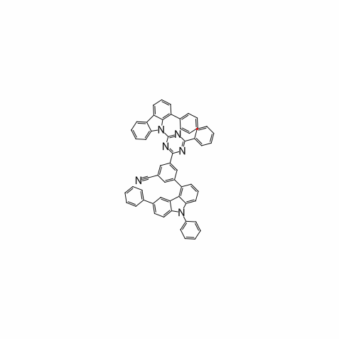 N#Cc1cc(-c2nc(-c3ccccc3)nc(-n3c4ccccc4c4cccc(-c5ccccc5)c43)n2)cc(-c2cccc3c2c2cc(-c4ccccc4)ccc2n3-c2ccccc2)c1